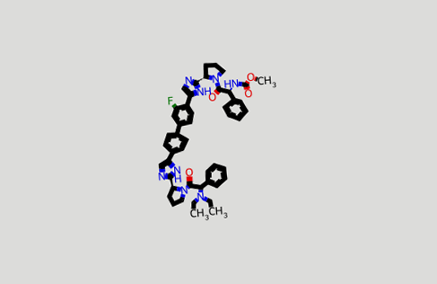 CCN(CC)C(C(=O)N1CCC[C@H]1c1ncc(-c2ccc(-c3ccc(-c4cnc([C@@H]5CCCN5C(=O)[C@H](NC(=O)OC)c5ccccc5)[nH]4)c(F)c3)cc2)[nH]1)c1ccccc1